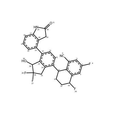 N#Cc1cc(F)cc2c1C(c1ccc(-c3cccc4c3CC(=O)N4)c3c1CC(F)(F)C3O)CCC2F